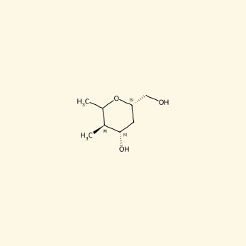 CC1O[C@H](CO)C[C@H](O)[C@H]1C